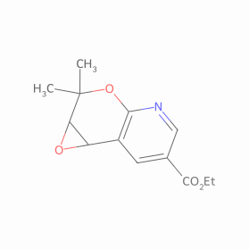 CCOC(=O)c1cnc2c(c1)C1OC1C(C)(C)O2